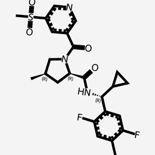 Cc1cc(F)c([C@H](NC(=O)[C@H]2C[C@@H](C)CN2C(=O)c2cncc(S(C)(=O)=O)c2)C2CC2)cc1F